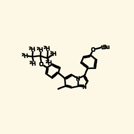 [2H]C([2H])([2H])C([2H])(Oc1ccc(-c2cn3c(-c4ccc(OC(C)(C)C)cc4)cnc3cc2C)cc1)C([2H])([2H])[2H]